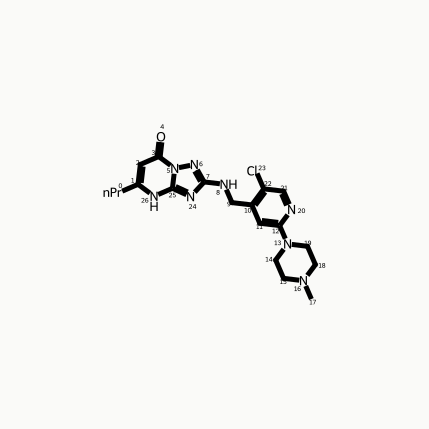 CCCc1cc(=O)n2nc(NCc3cc(N4CCN(C)CC4)ncc3Cl)nc2[nH]1